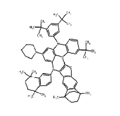 CC(C)(C)c1cc(N2c3ccc(C(C)(C)C)cc3B3c4oc5cc6c(cc5c4N(c4ccc5c(c4)C(C)(C)CCC5(C)C)c4cc(N5CCCCC5)cc2c43)C2(C)CCC6(C)CC2)cc(C(C)(C)C)c1